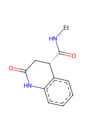 CCNC(=O)[C@H]1CC(=O)Nc2ccccc21